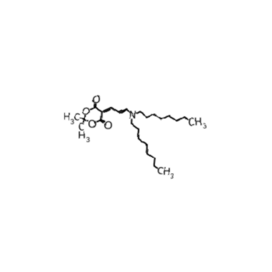 CCCCCCCCN(/C=C/C=C1C(=O)OC(C)(C)OC1=O)CCCCCCCC